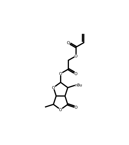 C=CC(=O)OCC(=O)OC1OC2C(C)OC(=O)C2C1CCCC